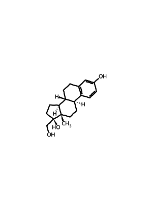 C[C@]12CC[C@@H]3c4ccc(O)cc4CC[C@H]3[C@@H]1CC[C@@]2(O)CO